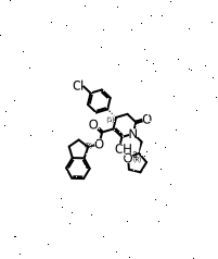 CC1=C(C(=O)O[C@@H]2CCc3ccccc32)[C@H](c2ccc(Cl)cc2)CC(=O)N1C[C@H]1CCCO1